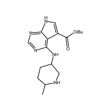 CC(C)COC(=O)c1c[nH]c2ncnc(NC3CCC(C)NC3)c12